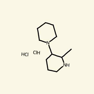 CC1NCCCC1N1CCCCC1.Cl.Cl